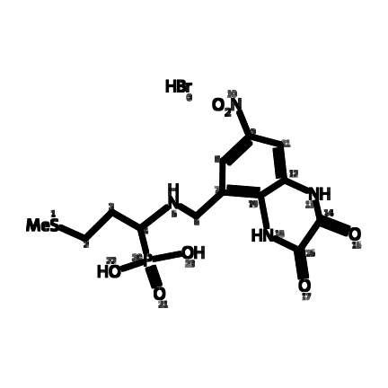 Br.CSCCC(NCc1cc([N+](=O)[O-])cc2[nH]c(=O)c(=O)[nH]c12)P(=O)(O)O